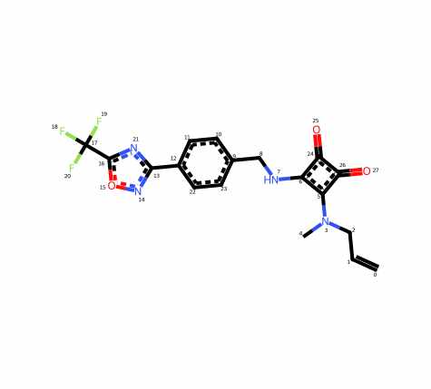 C=CCN(C)c1c(NCc2ccc(-c3noc(C(F)(F)F)n3)cc2)c(=O)c1=O